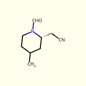 CC1CCN(C=O)[C@H](CC#N)C1